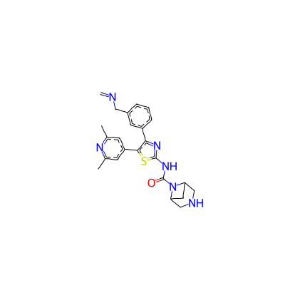 C=NCc1cccc(-c2nc(NC(=O)N3C4CNCC3C4)sc2-c2cc(C)nc(C)c2)c1